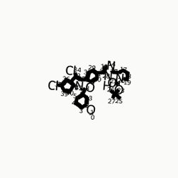 COc1cccc(C2Oc3cc(-c4cnc(C5CCCN5C(=O)OC(C)(C)C)[nH]4)ccc3-c3c(Cl)c4cc(Cl)ccc4n32)c1